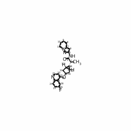 CC(C(=O)Nc1cc2ccccn2n1)[C@@H]1[C@@H]2C[C@@H](Oc3ccnc4ccc(F)cc34)C[C@@H]21